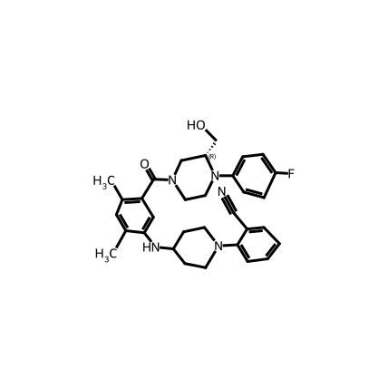 Cc1cc(C)c(C(=O)N2CCN(c3ccc(F)cc3)[C@@H](CO)C2)cc1NC1CCN(c2ccccc2C#N)CC1